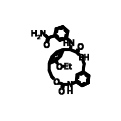 CCOc1cc2ccc1CCOC(=O)Nc1cccc(c1)CBC(=O)C2Nc1cccc(C(N)=O)c1